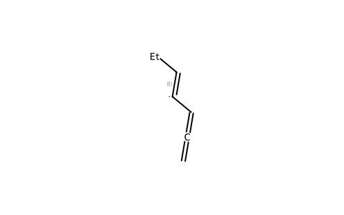 C=C=C/[C]=C/CC